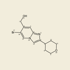 OCc1cc2nc(C3CCOCC3)cn2cc1Br